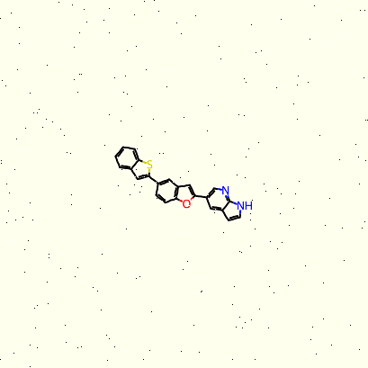 c1ccc2sc(-c3ccc4oc(-c5cnc6[nH]ccc6c5)cc4c3)cc2c1